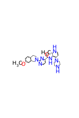 COc1ccc2c(c1)CN(c1nccc(C(=O)NC3=C(N4CCNCC4)C=CNC3C)n1)CC2